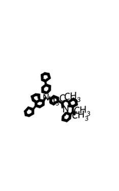 CC1(C)C(c2ccc(N(c3ccc(-c4ccccc4)cc3)c3ccc(-c4ccccc4)c4ccccc34)cc2)=CN2c3ccccc3C(C)(C)c3cccc1c32